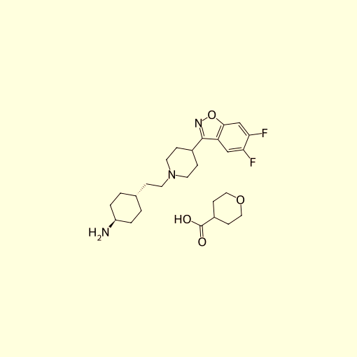 N[C@H]1CC[C@H](CCN2CCC(c3noc4cc(F)c(F)cc34)CC2)CC1.O=C(O)C1CCOCC1